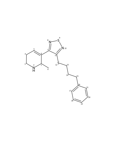 CC1NCCC=C1c1nsnc1SCCCc1ccccc1